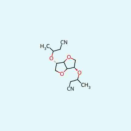 CC(CC#N)O[C@H]1COC2C1OC[C@H]2OC(C)CC#N